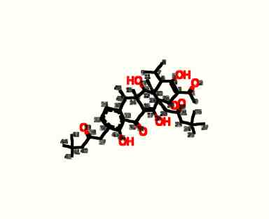 CC(=O)C1=C(O)C(C(C)C)[C@@]2(C)[C@H](O)[C@]3(C)C(=C(O)[C@@]2(CC(=O)CC(C)(C)C)C1=O)C(=O)c1c(ccc(CC(=O)CC(C)(C)C)c1O)[C@H]3C